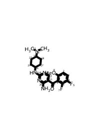 COc1ccc(F)c(F)c1C(=O)c1cnc(NC2CCC(N(C)C)CC2)nc1N